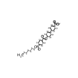 CCCCCCCOC(=O)c1ccc(C(=O)Oc2ccc(-c3ccc([N+](=O)[O-])cc3)cc2)cc1